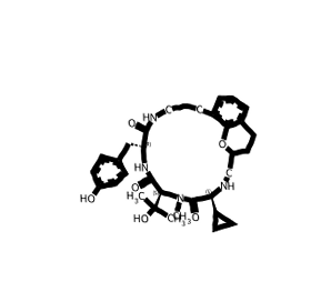 CN1C(=O)[C@H](C2CC2)NCC2CCc3cccc(c3O2)CCCNC(=O)[C@@H](Cc2ccc(O)cc2)NC(=O)[C@@H]1C(C)(C)O